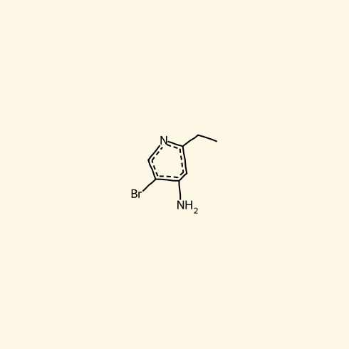 CCc1cc(N)c(Br)cn1